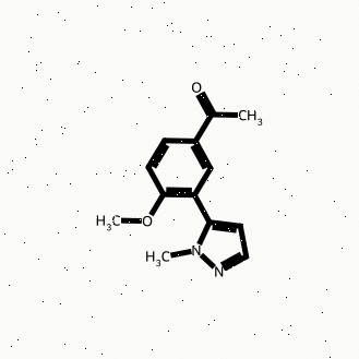 COc1ccc(C(C)=O)cc1-c1ccnn1C